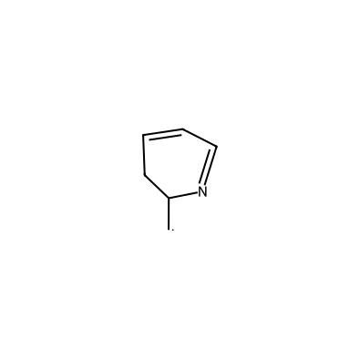 [CH2]C1CC=CC=N1